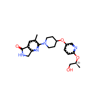 Cc1cc2c(nc1N1CCC(Oc3ccc(O[C@@H](C)CO)nc3)CC1)CNC2=O